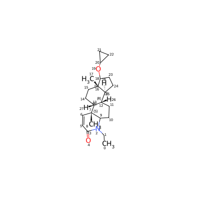 CCN1C(=O)C=C[C@@]2(C)C1CC[C@@H]1[C@H]2CC[C@]2(C)C(OC3CC3)CC[C@@H]12